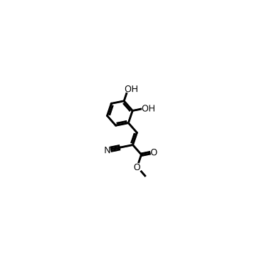 COC(=O)/C(C#N)=C/c1cccc(O)c1O